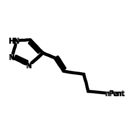 CCCCCCCC=Cc1c[nH]nn1